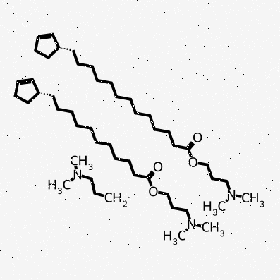 CN(C)CCCOC(=O)CCCCCCCCCCCC[C@H]1C=CCC1.CN(C)CCCOC(=O)CCCCCCCCCC[C@H]1C=CCC1.[CH2]CCN(C)C